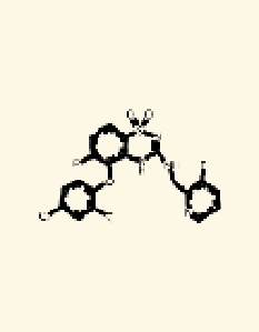 O=S1(=O)N=C(NCc2ncccc2F)Nc2c1ccc(F)c2Oc1ccc(Cl)cc1Cl